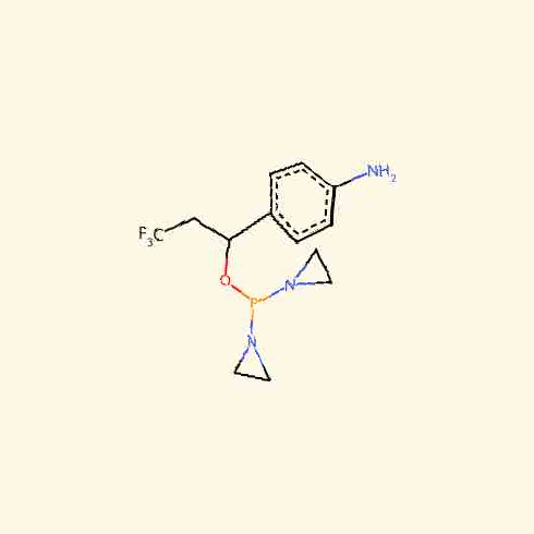 Nc1ccc(C(CC(F)(F)F)OP(N2CC2)N2CC2)cc1